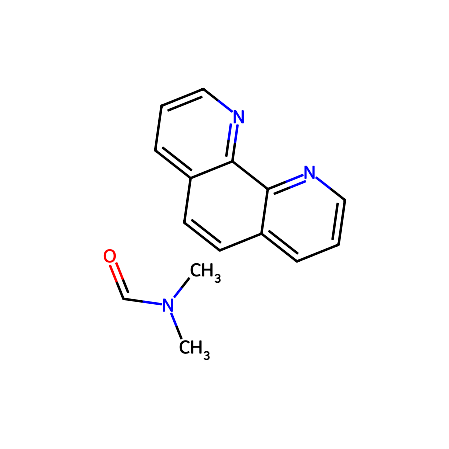 CN(C)C=O.c1cnc2c(c1)ccc1cccnc12